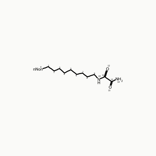 CCCCCCCCCCCCCCCCCCNC(=O)C(N)=O